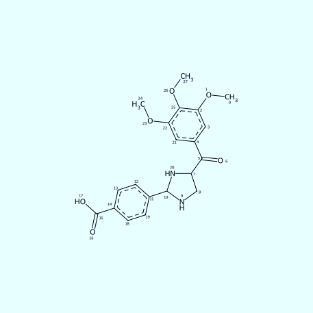 COc1cc(C(=O)C2CNC(c3ccc(C(=O)O)cc3)N2)cc(OC)c1OC